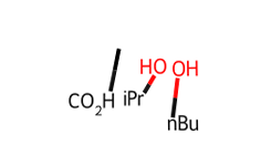 CC(=O)O.CC(C)O.CCCCO